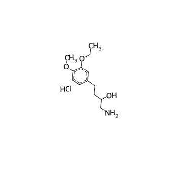 CCOc1cc(CCC(O)CN)ccc1OC.Cl